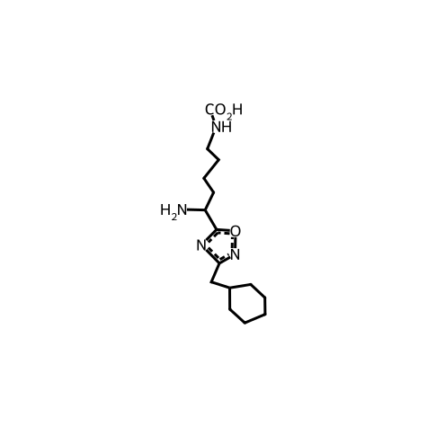 NC(CCCCNC(=O)O)c1nc(CC2CCCCC2)no1